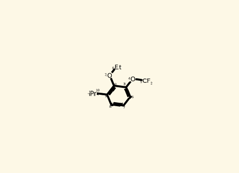 CCOc1c(OC(F)(F)F)cccc1[C](C)C